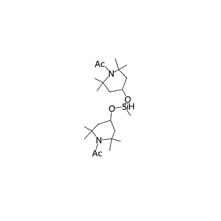 CC(=O)N1C(C)(C)CC(O[SiH](C)OC2CC(C)(C)N(C(C)=O)C(C)(C)C2)CC1(C)C